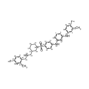 Cc1cc(Nc2ccnc(Nc3ccc(S(=O)(=O)N4CCCC(CNCc5ccc(F)nc5C)C4)cc3)n2)ccc1F